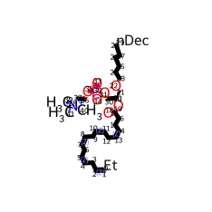 CC/C=C\C/C=C\C/C=C\C/C=C\C/C=C\CCC(=O)O[C@H](COCCCCCCCCCCCCCCCC)COP(=O)([O-])OCC[N+](C)(C)C